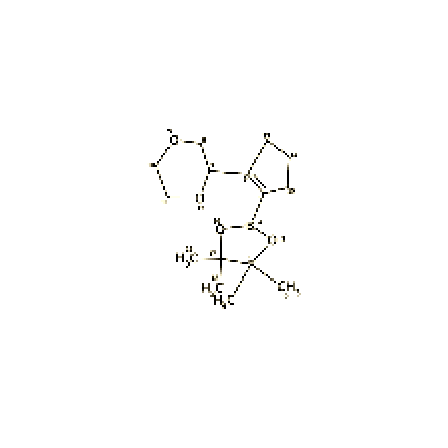 CC1(C)OB(C2=C(C3COCCO3)CCC2)OC1(C)C